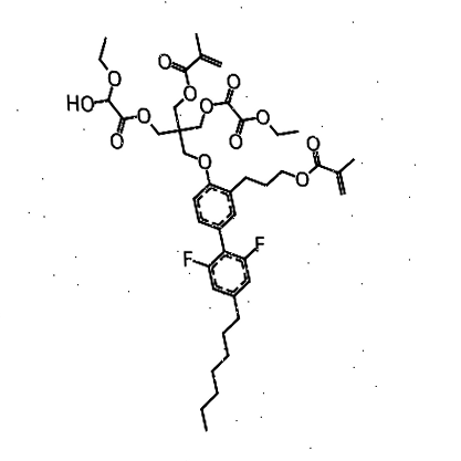 C=C(C)C(=O)OCCCc1cc(-c2c(F)cc(CCCCCCC)cc2F)ccc1OCC(COC(=O)C(=C)C)(COC(=O)C(=O)OCC)COC(=O)C(O)OCC